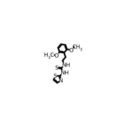 COc1cccc(OC)c1CCNC(=S)Nc1nccs1